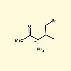 COC(=O)[C@@H](N)C(C)CBr